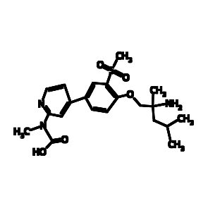 CC(C)CC(C)(N)COc1ccc(-c2ccnc(N(C)C(=O)O)c2)cc1S(C)(=O)=O